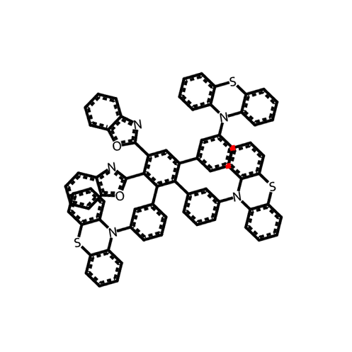 c1cc(-c2cc(-c3nc4ccccc4o3)c(-c3nc4ccccc4o3)c(-c3cccc(N4c5ccccc5Sc5ccccc54)c3)c2-c2cccc(N3c4ccccc4Sc4ccccc43)c2)cc(N2c3ccccc3Sc3ccccc32)c1